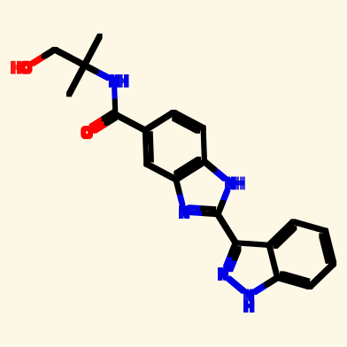 CC(C)(CO)NC(=O)c1ccc2[nH]c(-c3n[nH]c4ccccc34)nc2c1